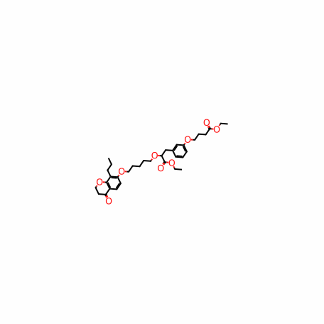 CCCc1c(OCCCCCOC(Cc2cccc(OCCCC(=O)OCC)c2)C(=O)OCC)ccc2c1OCCC2=O